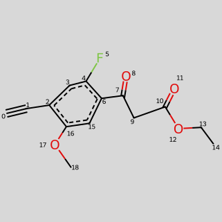 C#Cc1cc(F)c(C(=O)CC(=O)OCC)cc1OC